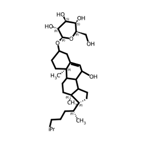 CC(C)CCC[C@@H](C)[C@H]1CCC2C3C(O)C=C4CC(O[C@@H]5O[C@H](CO)[C@@H](O)[C@H](O)[C@H]5O)CC[C@]4(C)C3CC[C@@]21C